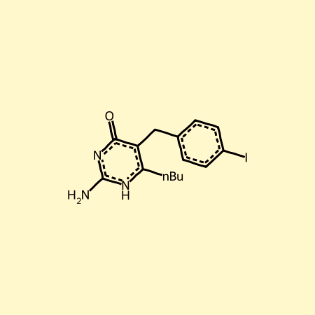 CCCCc1[nH]c(N)nc(=O)c1Cc1ccc(I)cc1